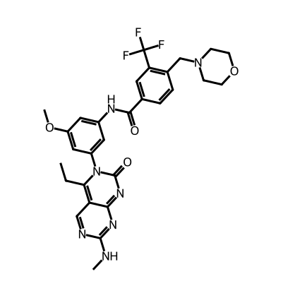 CCc1c2cnc(NC)nc2nc(=O)n1-c1cc(NC(=O)c2ccc(CN3CCOCC3)c(C(F)(F)F)c2)cc(OC)c1